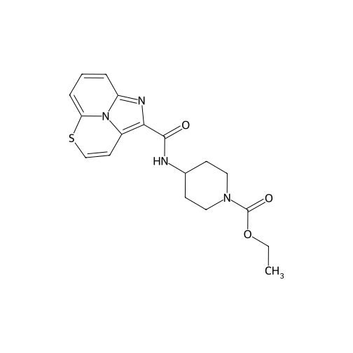 CCOC(=O)N1CCC(NC(=O)c2nc3cccc4n3c2C=CS4)CC1